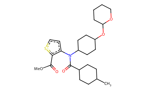 COC(=O)c1sccc1N(C(=O)C1CCC(C)CC1)C1CCC(OC2CCCCO2)CC1